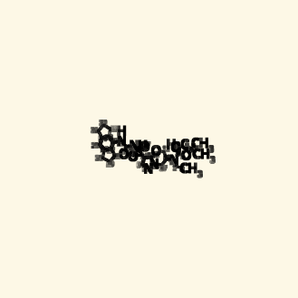 CCN(C(=O)OC(C)(C)C)[C@@H]1COc2c(S(=O)(=O)NC(=O)Nc3c4c(cc5c3CCC5)CCC4)cnn2C1